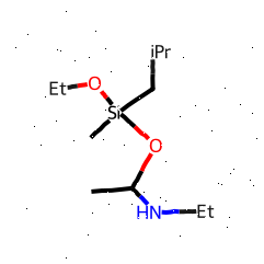 CCNC(C)O[Si](C)(CC(C)C)OCC